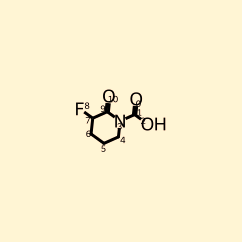 O=C(O)N1CCCC(F)C1=O